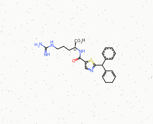 N=C(N)NCCC[C@H](NC(=O)c1cnc(C(C2=CCCC=C2)c2ccccc2)s1)C(=O)O